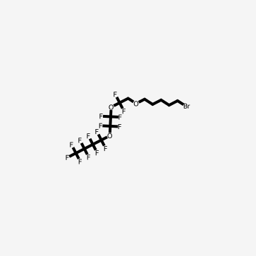 FC(F)(COCCCCCBr)OC(F)(F)C(F)(F)OC(F)(F)C(F)(F)C(F)(F)C(F)(F)F